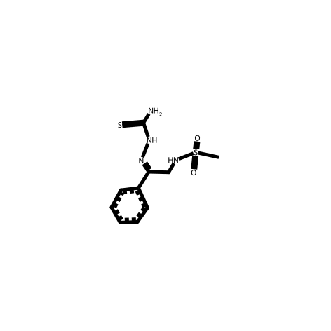 CS(=O)(=O)NCC(=NNC(N)=S)c1ccccc1